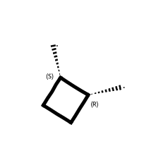 [CH2][C@@H]1CC[C@@H]1[CH2]